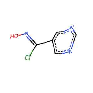 ON=C(Cl)c1cncnc1